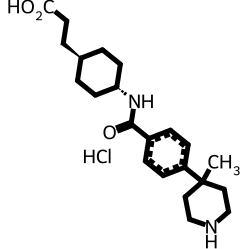 CC1(c2ccc(C(=O)N[C@H]3CC[C@H](CCC(=O)O)CC3)cc2)CCNCC1.Cl